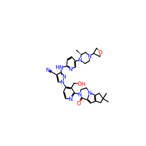 C[C@H]1CN(C2COC2)CCN1c1ccc(Nc2nn(-c3ccnc(N4CCn5c(cc6c5CC(C)(C)C6)C4=O)c3CO)cc2C#N)nc1